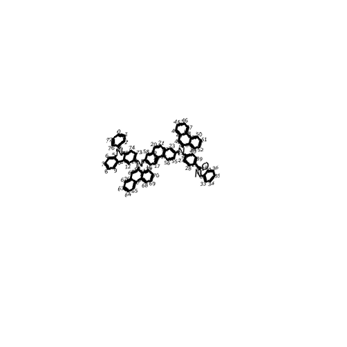 c1ccc(-n2c3ccccc3c3cc(N(c4ccc5c(ccc6cc(N(c7ccc(-c8nc9ccccc9o8)cc7)c7cc8ccccc8c8ccccc78)ccc65)c4)c4cc5ccccc5c5ccccc45)ccc32)cc1